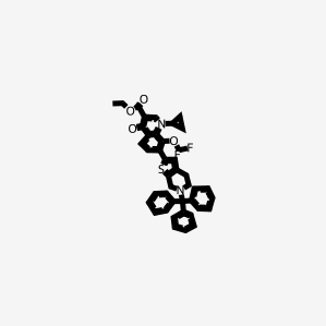 CCOC(=O)c1cn(C2CC2)c2c(OC(F)F)c(-c3cc4c(s3)CN(C(c3ccccc3)(c3ccccc3)c3ccccc3)CC4)ccc2c1=O